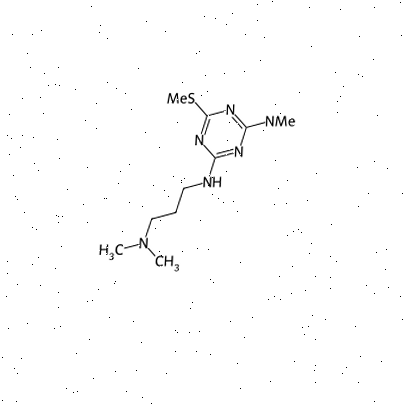 CNc1nc(NCCCN(C)C)nc(SC)n1